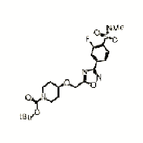 CNS(=O)(=O)c1ccc(-c2noc(COC3CCN(C(=O)OC(C)(C)C)CC3)n2)cc1F